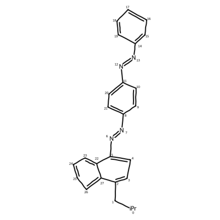 CC(C)Cc1ccc(N=Nc2ccc(N=Nc3ccccc3)cc2)c2ccccc12